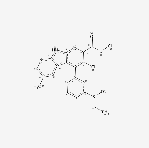 CC[S+]([O-])c1cccc(-c2c(Cl)c(C(=O)OC)cc3[nH]c4ncc(C)cc4c23)c1